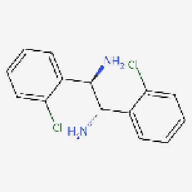 N[C@H](c1ccccc1Cl)[C@@H](N)c1ccccc1Cl